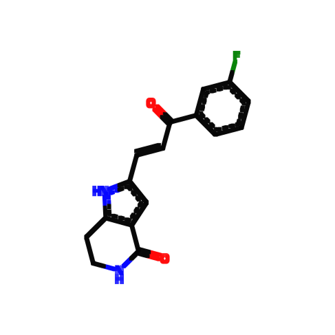 O=C(C=Cc1cc2c([nH]1)CCNC2=O)c1cccc(F)c1